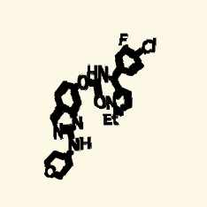 CCn1ccc([C@H](NC(=O)Oc2ccc3cnc(NC4CCOCC4)nc3c2)c2ccc(Cl)c(F)c2)n1